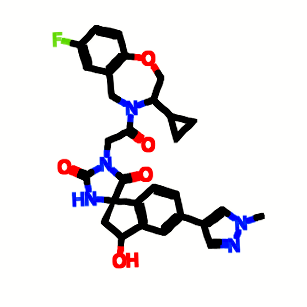 Cn1cc(-c2ccc3c(c2)C(O)C[C@]32NC(=O)N(CC(=O)N3Cc4cc(F)ccc4OCC3C3CC3)C2=O)cn1